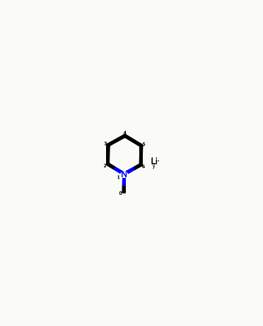 CN1CCCCC1.[Li]